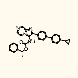 C[C@@H](OC(=O)Nc1c(-c2ccc(-c3ccc(C4CC4)cc3)cc2)nc2cnccn12)c1ccccc1